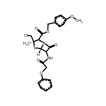 COc1ccc(COC(=O)C2N3C(=O)C(NC(=O)COc4ccccc4)[C@@H]3S[C@@]2(C)CCl)cc1